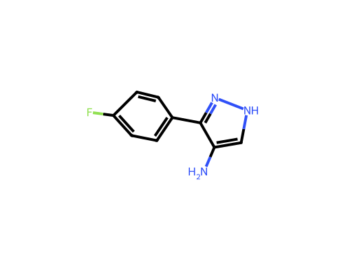 Nc1c[nH]nc1-c1ccc(F)cc1